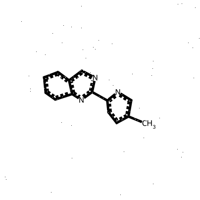 Cc1ccc(-c2ncc3ccccc3n2)nc1